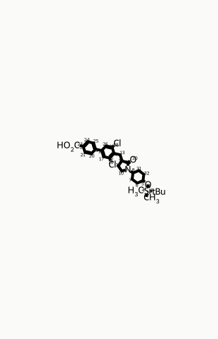 CC(C)(C)[Si](C)(C)OC1CCC(N2CCC(Cc3c(Cl)cc(-c4ccc(C(=O)O)cc4)cc3Cl)C2=O)CC1